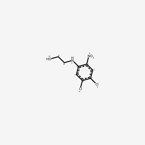 O=[N+]([O-])c1cc(Cl)c(Cl)cc1NCCO